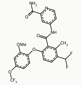 COc1cc(OC(F)(F)F)ccc1Oc1ccc(C(F)F)c(C)c1C(=O)Nc1ccnc(C(N)=O)c1